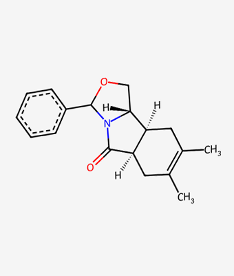 CC1=C(C)C[C@H]2C(=O)N3C(c4ccccc4)OC[C@@H]3[C@H]2C1